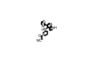 N#CCC(=O)N1CCCC(Nc2c(-c3ncco3)cnc3[nH]ccc23)C1